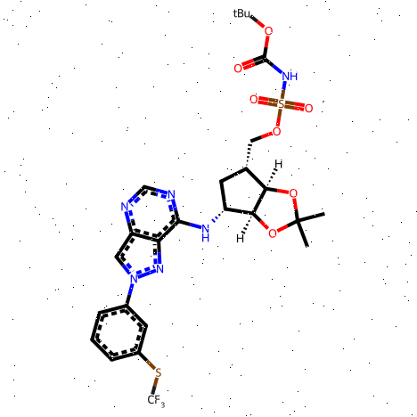 CC(C)(C)OC(=O)NS(=O)(=O)OC[C@H]1C[C@@H](Nc2ncnc3cn(-c4cccc(SC(F)(F)F)c4)nc23)[C@@H]2OC(C)(C)O[C@H]12